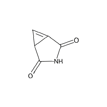 O=C1NC(=O)C2C=C12